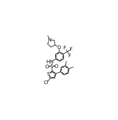 Cc1ccc(-c2cc(Cl)sc2S(=O)(=O)Nc2ccc(C(F)(F)F)c(OC3CCN(C)C3)c2)cc1C